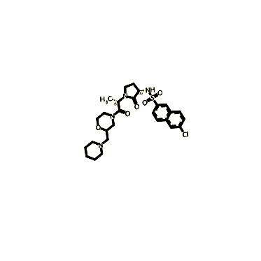 C[C@@H](C(=O)N1CCOC(CN2CCCCC2)C1)N1CC[C@H](NS(=O)(=O)c2ccc3cc(Cl)ccc3c2)C1=O